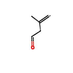 [CH]=C(C)CC=O